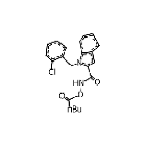 CCCCC(=O)ONC(=O)c1cc2ccccc2n1Cc1ccccc1Cl